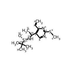 C=Cc1nc(SC)ncc1C(C)N[S@@+]([O-])C(C)(C)C